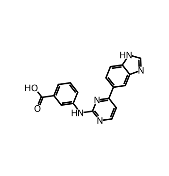 O=C(O)c1cccc(Nc2nccc(-c3ccc4[nH]cnc4c3)n2)c1